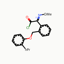 CCCc1ccccc1OCc1ccccc1/C(=N\OC)C(=O)Cl